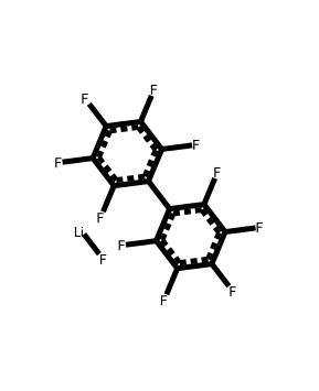 Fc1c(F)c(F)c(-c2c(F)c(F)c(F)c(F)c2F)c(F)c1F.[Li][F]